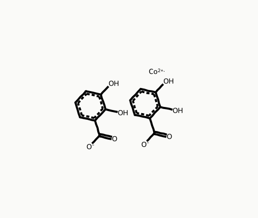 O=C([O-])c1cccc(O)c1O.O=C([O-])c1cccc(O)c1O.[Co+2]